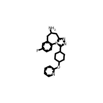 NC1Cc2cc(F)ccc2-n2c(nnc2C2CCC(Oc3ccccn3)CC2)C1